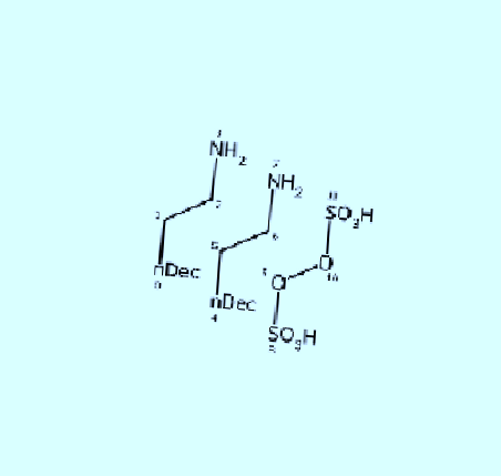 CCCCCCCCCCCCN.CCCCCCCCCCCCN.O=S(=O)(O)OOS(=O)(=O)O